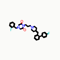 O=C1CN(Cc2ccccc2F)CC(=O)N1CCCN1CCC(=Cc2ccccc2-c2ccc(F)cc2)CC1